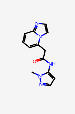 Cn1nccc1NC(=O)Cc1cccc2nccn12